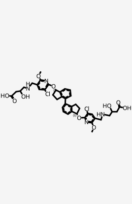 COc1nc(O[C@H]2CCc3c(-c4cccc5c4CC[C@@H]5Oc4nc(OC)c(CNCC(O)CC(=O)O)cc4Cl)cccc32)c(Cl)cc1CNCC(O)CC(=O)O